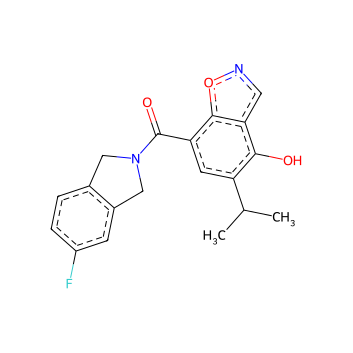 CC(C)c1cc(C(=O)N2Cc3ccc(F)cc3C2)c2oncc2c1O